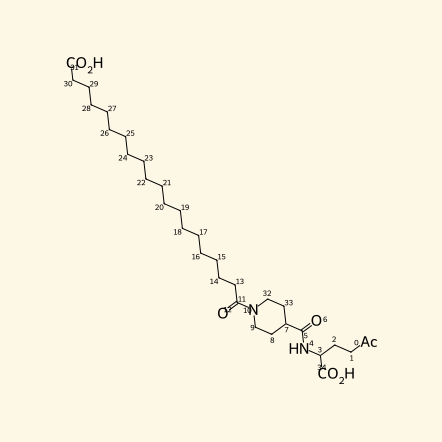 CC(=O)CCC(NC(=O)C1CCN(C(=O)CCCCCCCCCCCCCCCCCCC(=O)O)CC1)C(=O)O